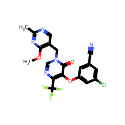 COc1nc(C)ncc1Cn1cnc(C(F)(F)F)c(Oc2cc(Cl)cc(C#N)c2)c1=O